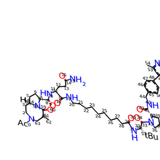 CC(=O)N1CC[C@H]2CC[C@@H](C(=O)N[C@@H](CCC(N)=O)C(=O)NCCCCCCCCCC(=O)N[C@H](C(=O)N3C[C@H](O)C[C@H]3C(=O)NCc3ccc(-c4scnc4C)cc3)C(C)(C)C)N2C(=O)[C@@H](C)C1